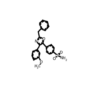 COc1cccc(-c2nc(Cc3ccccc3)oc2-c2ccc(S(N)(=O)=O)cc2)c1